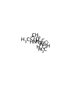 CCC1(C)/C(=N/OCC(=O)Nc2cc(C)cc(C)c2)[C@@]2(C)CC[C@@H]1C2